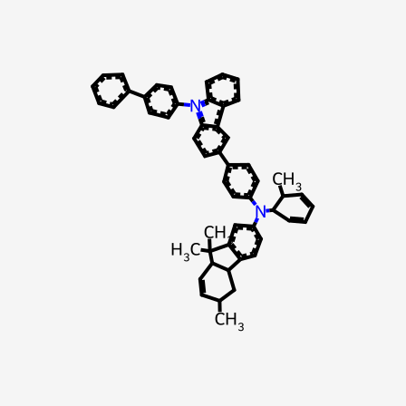 CC1C=CC2C(C1)c1ccc(N(c3ccc(-c4ccc5c(c4)c4ccccc4n5-c4ccc(-c5ccccc5)cc4)cc3)C3C=CC=CC3C)cc1C2(C)C